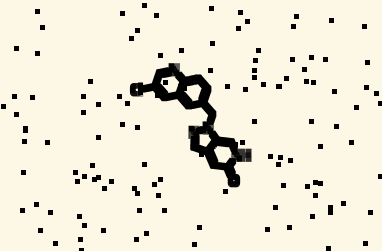 O=c1cc2cnn(Cc3ccc4ncc(Cl)cc4c3)c2c[nH]1